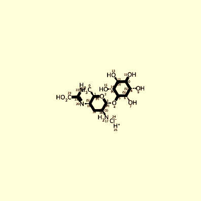 C[C@H]1O[C@H](OC2[C@@H](O)[C@@H](O)C(O)[C@H](O)[C@H]2O)[C@@H](N)C[C@@H]1N=C(N)C(=O)O.[Cl-].[H+]